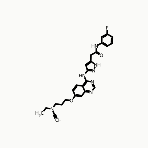 C#CN(CC)CCCOc1ccc2c(Nc3cc(CC(=O)Nc4cccc(F)c4)[nH]n3)ncnc2c1